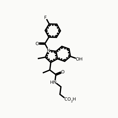 Cc1c(C(C)C(=O)NCCC(=O)O)c2cc(O)ccc2n1C(=O)c1cccc(F)c1